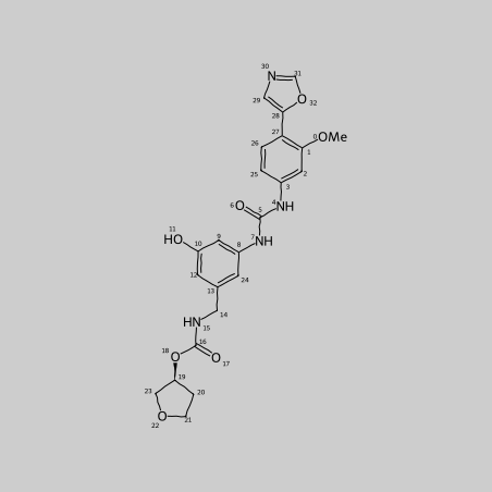 COc1cc(NC(=O)Nc2cc(O)cc(CNC(=O)O[C@H]3CCOC3)c2)ccc1-c1cnco1